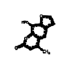 CCCc1c2occc2cc2c(C)cc(=O)oc12